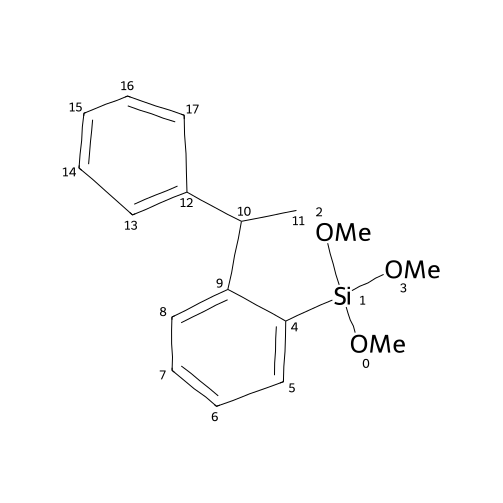 CO[Si](OC)(OC)c1ccccc1C(C)c1ccccc1